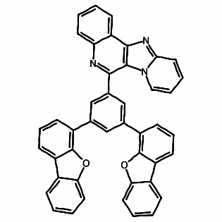 c1ccc2c(c1)nc(-c1cc(-c3cccc4c3oc3ccccc34)cc(-c3cccc4c3oc3ccccc34)c1)c1c2nc2ccccn21